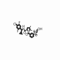 C[C@@H]1C[C@H](C(=O)NC(c2cc(F)c(Cl)cc2F)C2CC2)N(C(=O)c2cccc(S(=O)(=O)CCO)c2)[C@@H]1C